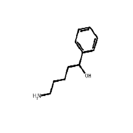 NCCCCC(O)c1ccccc1